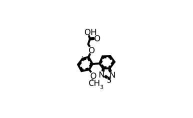 COc1cc[c]c(OCC(=O)O)c1-c1cccc2nsnc12